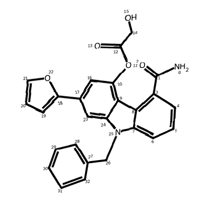 NC(=O)c1cccc2c1c1c(OC(=O)CO)cc(-c3ccco3)cc1n2Cc1ccccc1